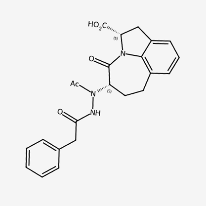 CC(=O)N(NC(=O)Cc1ccccc1)[C@H]1CCc2cccc3c2N(C1=O)[C@H](C(=O)O)C3